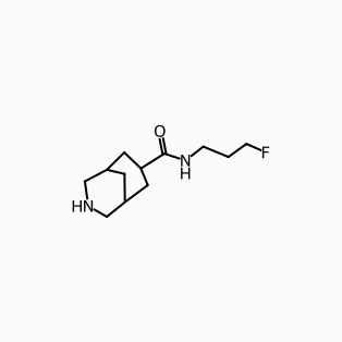 O=C(NCCCF)C1CC2CNCC(C2)C1